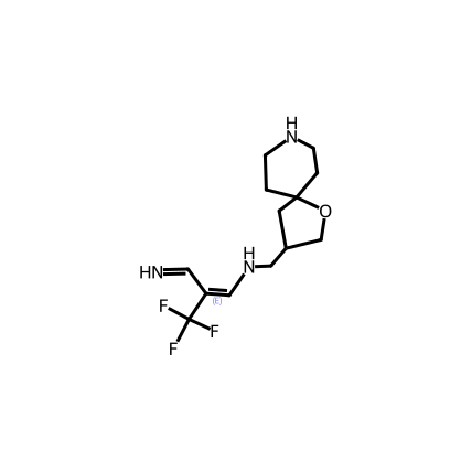 N=C/C(=C\NCC1COC2(CCNCC2)C1)C(F)(F)F